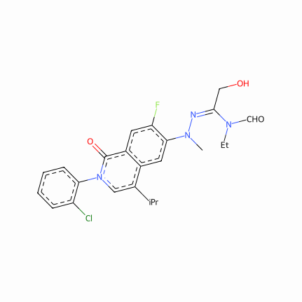 CCN(C=O)/C(CO)=N\N(C)c1cc2c(C(C)C)cn(-c3ccccc3Cl)c(=O)c2cc1F